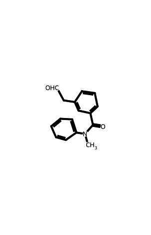 CN(C(=O)c1cccc(CC=O)c1)c1ccccc1